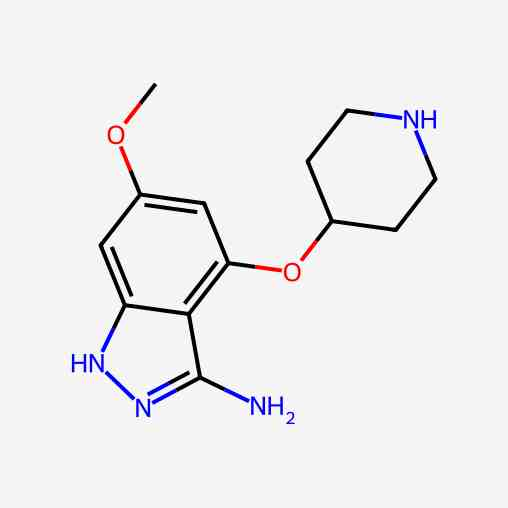 COc1cc(OC2CCNCC2)c2c(N)n[nH]c2c1